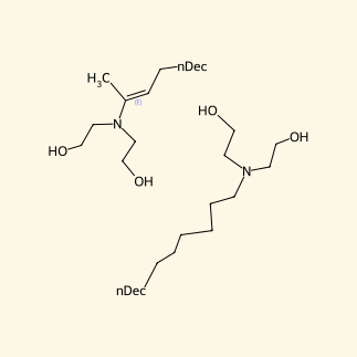 CCCCCCCCCCC/C=C(\C)N(CCO)CCO.CCCCCCCCCCCCCCCCN(CCO)CCO